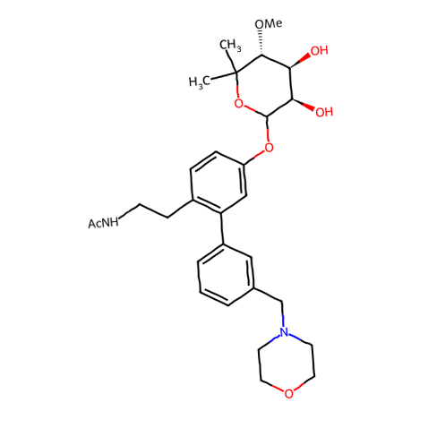 CO[C@@H]1[C@@H](O)[C@@H](O)C(Oc2ccc(CCNC(C)=O)c(-c3cccc(CN4CCOCC4)c3)c2)OC1(C)C